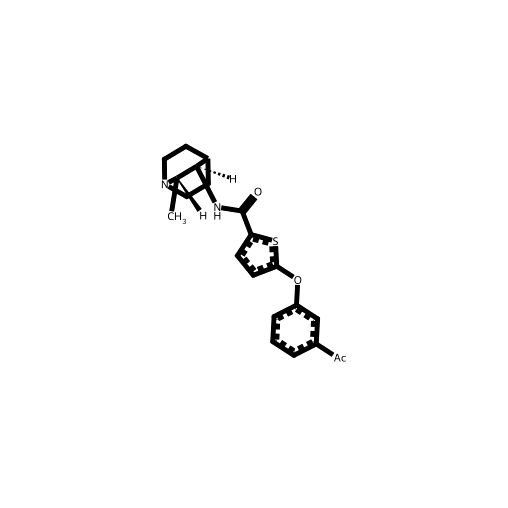 CC(=O)c1cccc(Oc2ccc(C(=O)N[C@@H]3C4CCN(CC4)[C@H]3C)s2)c1